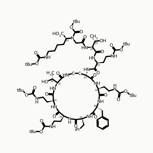 CC(C)C[C@@H]1NC(=O)[C@@H](Cc2ccccc2)NC(=O)[C@H](CCNC(=O)OC(C)(C)C)NC(=O)[C@@H](NC(=O)[C@H](CCNC(=O)OC(C)(C)C)NC(=O)[C@@H](NC(=O)CN(C(=O)OC(C)(C)C)[C@@H](CCCCNC(=O)OC(C)(C)C)C(=O)O)[C@H](C)O)CCNC(=O)[C@H]([C@@H](C)O)NC(=O)[C@H](CCNC(=O)OC(C)(C)C)NC(=O)[C@H](CCNC(=O)OC(C)(C)C)NC1=O